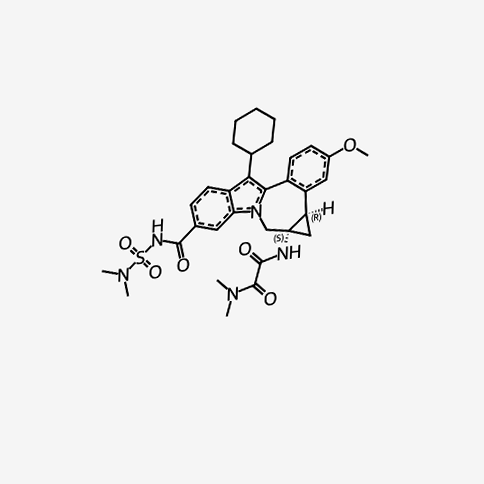 COc1ccc2c(c1)[C@H]1C[C@@]1(NC(=O)C(=O)N(C)C)Cn1c-2c(C2CCCCC2)c2ccc(C(=O)NS(=O)(=O)N(C)C)cc21